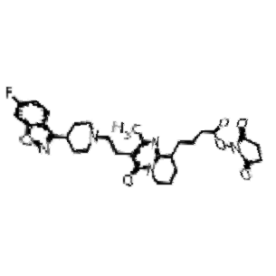 Cc1nc2n(c(=O)c1CCN1CCC(c3noc4cc(F)ccc34)CC1)CCCC2CCCC(=O)ON1C(=O)CCC1=O